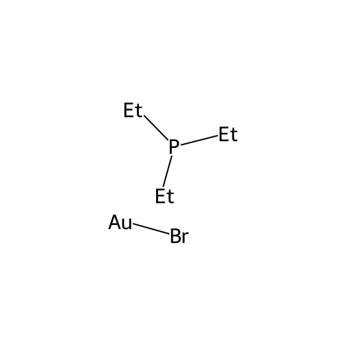 CCP(CC)CC.[Br][Au]